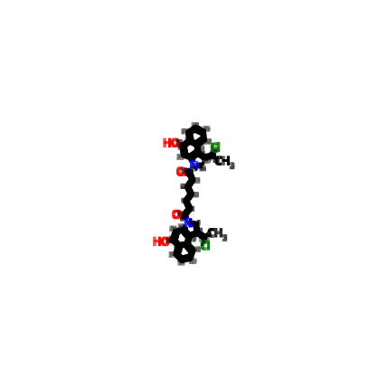 C[C@@H](Cl)C1CN(C(=O)CCCCCC(=O)N2C[C@@H]([C@@H](C)Cl)c3c2cc(O)c2ccccc32)c2cc(O)c3ccccc3c21